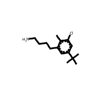 Cc1c(Cl)cc(C(C)(C)C)cc1CCCCN